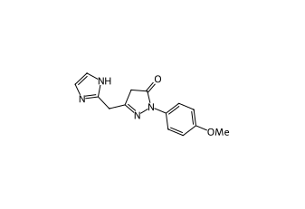 COc1ccc(N2N=C(Cc3ncc[nH]3)CC2=O)cc1